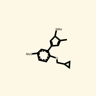 CNC1C=C(c2cc(SC)ccc2OCC2CC2)C=C1C